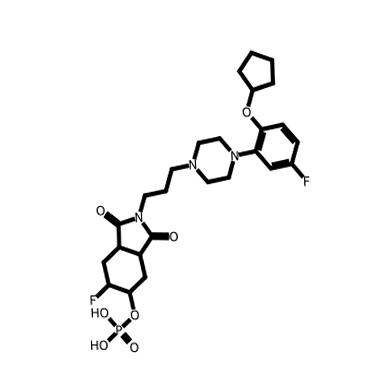 O=C1C2CC(F)C(OP(=O)(O)O)CC2C(=O)N1CCCN1CCN(c2cc(F)ccc2OC2CCCC2)CC1